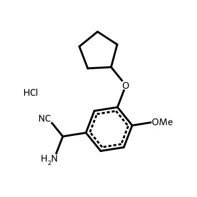 COc1ccc(C(N)C#N)cc1OC1CCCC1.Cl